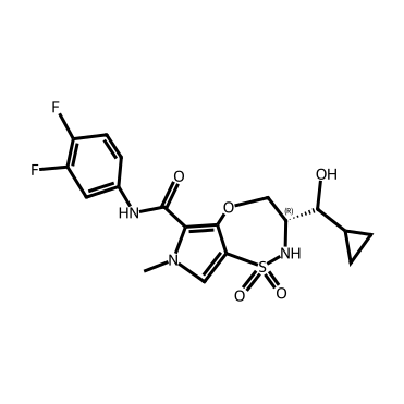 Cn1cc2c(c1C(=O)Nc1ccc(F)c(F)c1)OC[C@H](C(O)C1CC1)NS2(=O)=O